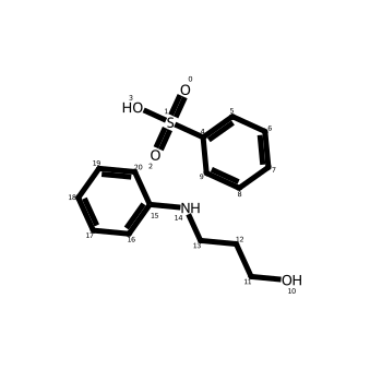 O=S(=O)(O)c1ccccc1.OCCCNc1ccccc1